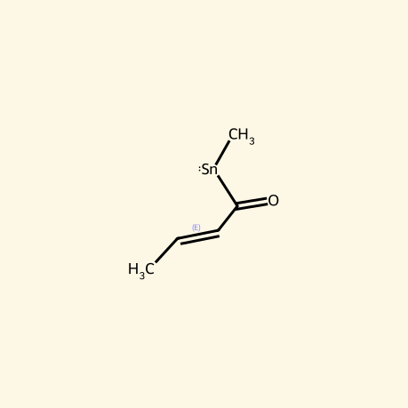 C/C=C/[C](=O)[Sn][CH3]